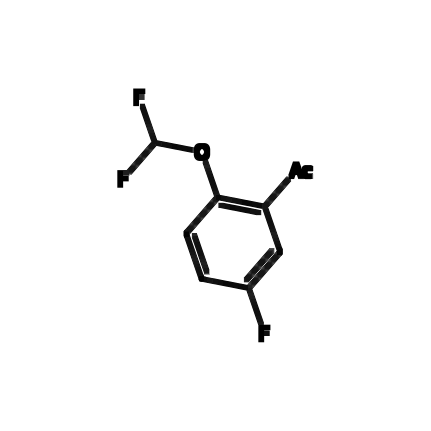 CC(=O)c1cc(F)ccc1OC(F)F